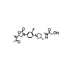 CC(=O)N(C)C1CN(c2ccc(N3C[C@H](CNC(=O)CO)[C@@H](C)C3)c(F)c2)C(=O)O1